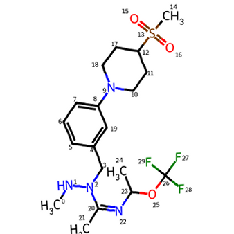 CNN(Cc1cccc(N2CCC(S(C)(=O)=O)CC2)c1)/C(C)=N\C(C)OC(F)(F)F